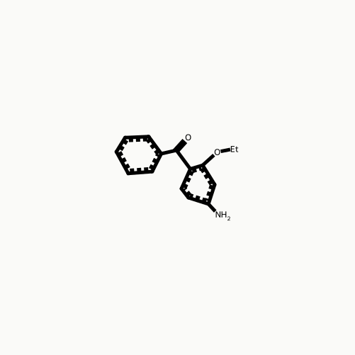 CCOc1cc(N)ccc1C(=O)c1ccccc1